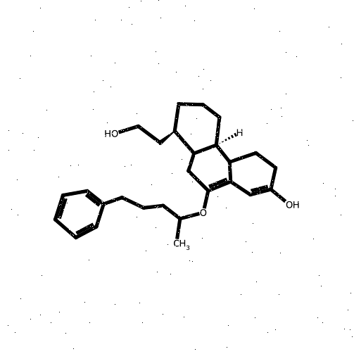 CC(CCCc1ccccc1)OC1=C2C=C(O)CCC2[C@@H]2CCC[C@H](CCO)C2C1